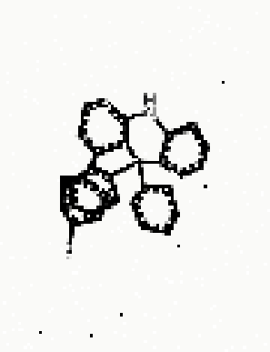 Brc1ccc(-c2cccc3c2C(c2ccccc2)(c2ccccc2)c2ccccc2N3)cc1